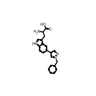 NC(Cc1c[nH]c2ccc(-c3cnn(Cc4ccccc4)c3)cc12)C(=O)O